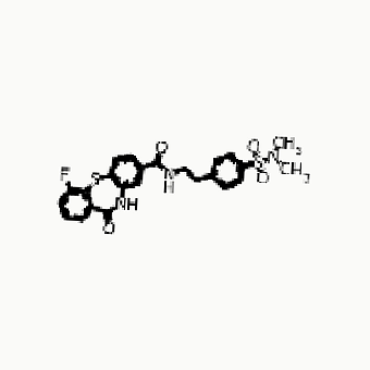 CN(C)S(=O)(=O)c1ccc(CCNC(=O)c2ccc3c(c2)NC(=O)c2cccc(F)c2S3)cc1